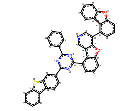 c1ccc(-c2nc(-c3ccc4c(c3)sc3ccccc34)nc(-c3cccc4oc5c(-c6cccc7oc8ccccc8c67)cncc5c34)n2)cc1